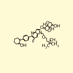 C[Si](C)(C)CCOCn1c(O[C@@H]2CO[C@H]3[C@@H]2OC[C@H]3O)cc2nc(-c3ccc([C@@H]4CCCC[C@H]4O)cc3)c(F)cc21